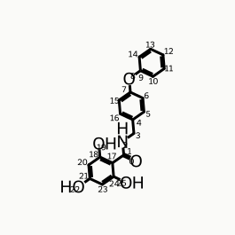 O=C(NCc1ccc(Oc2ccccc2)cc1)c1c(O)cc(O)cc1O